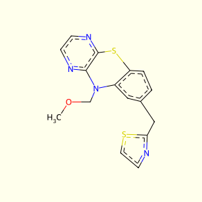 COCN1c2cc(Cc3nccs3)ccc2Sc2nccnc21